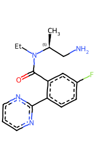 CCN(C(=O)c1cc(F)ccc1-c1ncccn1)[C@@H](C)CN